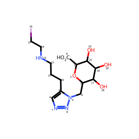 O=C(O)C1OC(Cn2nncc2CCCNCCI)C(O)C(O)C1O